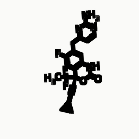 CC(F)(F)[C@@]1(C#CC2CC2)OC(=O)Nc2cc(Cc3ccnc(N)n3)c(F)cc21